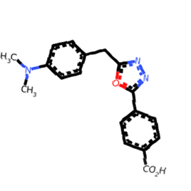 CN(C)c1ccc(Cc2nnc(-c3ccc(C(=O)O)cc3)o2)cc1